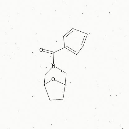 O=C(c1cc[c]cc1)N1CC2CCC(C1)O2